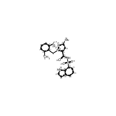 Cc1cccc(C)c1Cn1nc(C(C)(C)C)cc1C(=O)NS(=O)(=O)c1cccc2cc[nH]c12